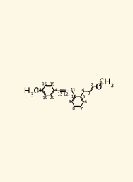 COC=CCc1ccccc1CC#Cc1ccc(C)cc1